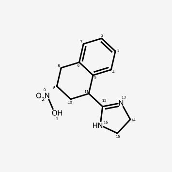 O=[N+]([O-])O.c1ccc2c(c1)CCCC2C1=NCCN1